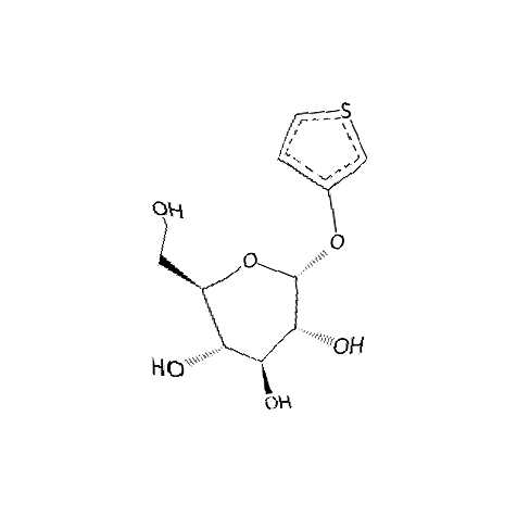 OC[C@H]1O[C@H](Oc2ccsc2)[C@H](O)[C@@H](O)[C@@H]1O